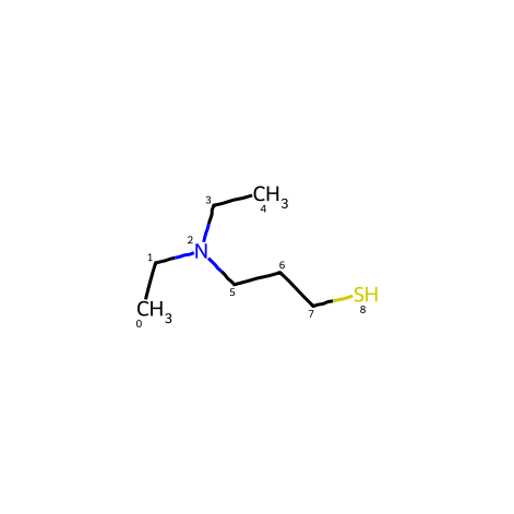 CCN(CC)CCCS